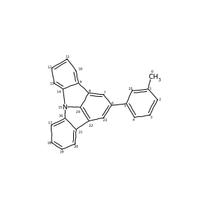 Cc1cccc(-c2cc3c4ccccc4n4c5ccccc5c(c2)c34)c1